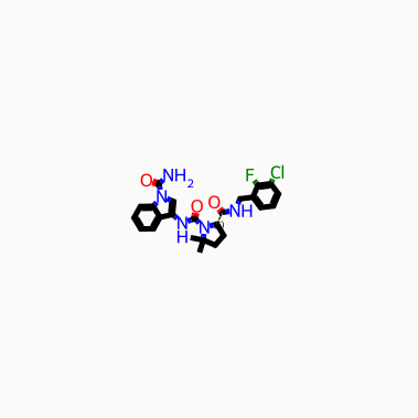 CC1(C)CC[C@@H](C(=O)NCc2cccc(Cl)c2F)N1C(=O)Nc1cn(C(N)=O)c2ccccc12